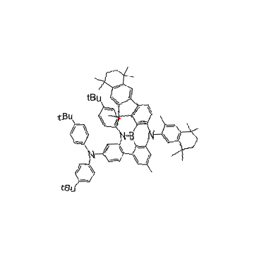 Cc1cc2c3c(c1)N(c1cc4c(cc1C)C(C)(C)CCC4(C)C)c1ccc4c(c1B3N(c1ccc(C(C)(C)C)cc1)c1cc(N(c3ccc(C(C)(C)C)cc3)c3ccc(C(C)(C)C)cc3)ccc1-2)C(C)(C)c1cc2c(cc1-4)C(C)(C)CCC2(C)C